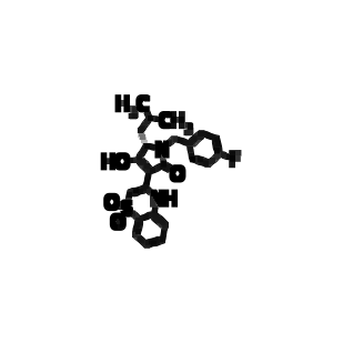 CC(C)C[C@H]1C(O)=C(C2=CS(=O)(=O)c3ccccc3N2)C(=O)N1Cc1ccc(F)cc1